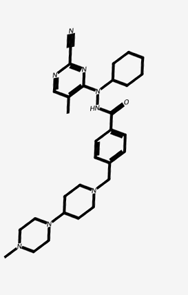 Cc1cnc(C#N)nc1N(NC(=O)c1ccc(CN2CCC(N3CCN(C)CC3)CC2)cc1)C1CCCCC1